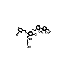 Cc1c(COc2cc(OCc3cncc(C#N)c3)c(CNCCCO)cc2Cl)cccc1-c1ccc2c(c1)OCCO2